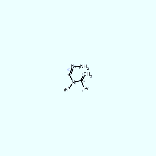 C=C(C(C)C)N(/C=N\N)C(C)C